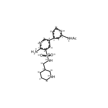 CC(=O)Nc1cc(-c2cnc(N)c(S(=O)(=O)NCC3CCCNC3)c2)ccn1